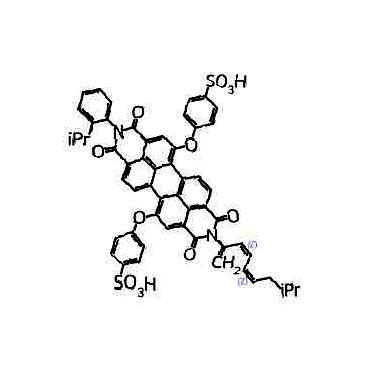 C=C(/C=C\C=C/CC(C)C)N1C(=O)c2ccc3c4c(Oc5ccc(S(=O)(=O)O)cc5)cc5c6c(ccc(c7c(Oc8ccc(S(=O)(=O)O)cc8)cc(c2c37)C1=O)c64)C(=O)N(c1ccccc1C(C)C)C5=O